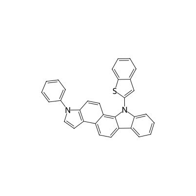 c1ccc(-n2ccc3c4ccc5c6ccccc6n(-c6cc7ccccc7s6)c5c4ccc32)cc1